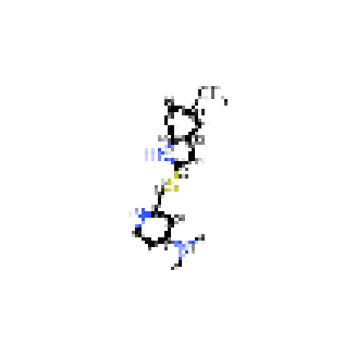 CN(C)c1ccnc(CSc2cc3cc(C(F)(F)F)ccc3[nH]2)c1